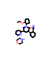 C1COCCN1.CCOc1ccccc1-n1cc(-c2ccccn2)cc(-c2ccccc2C#N)c1=O